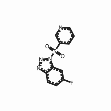 O=S(=O)(c1cccnc1)n1nnc2ccc(F)cc21